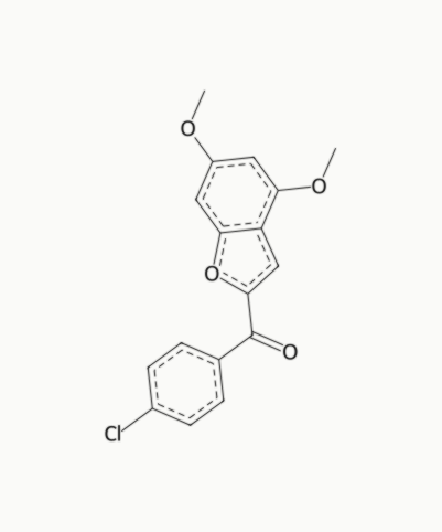 COc1cc(OC)c2cc(C(=O)c3ccc(Cl)cc3)oc2c1